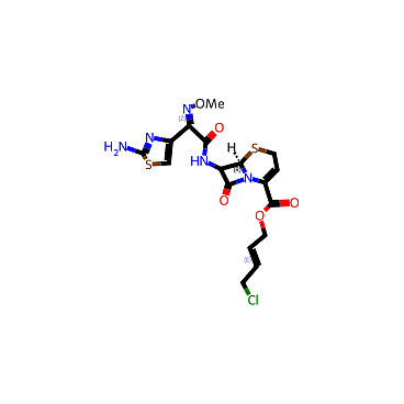 CO/N=C(\C(=O)NC1C(=O)N2C(C(=O)OC/C=C/CCl)=CCS[C@H]12)c1csc(N)n1